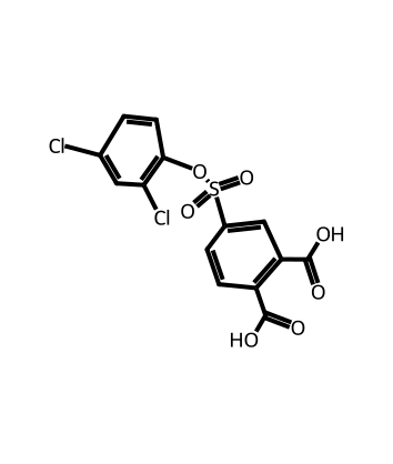 O=C(O)c1ccc(S(=O)(=O)Oc2ccc(Cl)cc2Cl)cc1C(=O)O